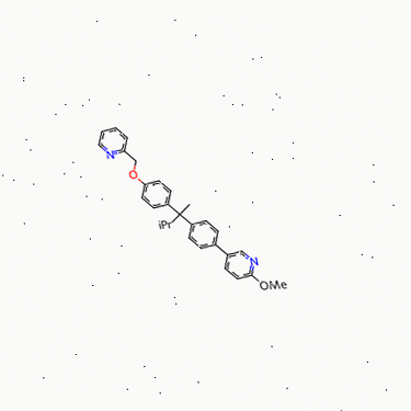 COc1ccc(-c2ccc(C(C)(c3ccc(OCc4ccccn4)cc3)C(C)C)cc2)cn1